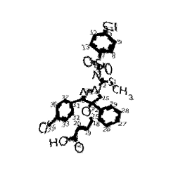 CS/C(=N\S(=O)(=O)c1ccc(Cl)cc1)N1CC(OC/C=C/C(=O)O)(c2ccccc2)C(c2ccc(Cl)cc2)=N1